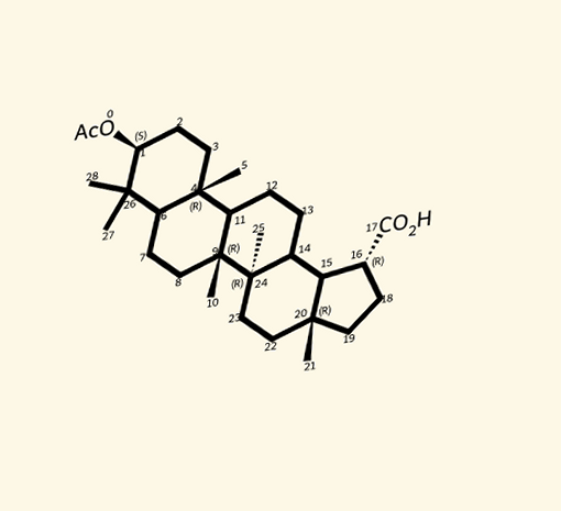 CC(=O)O[C@H]1CC[C@@]2(C)C(CC[C@]3(C)C2CCC2C4[C@H](C(=O)O)CC[C@]4(C)CC[C@]23C)C1(C)C